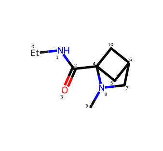 CCNC(=O)C12CC(CN1C)C2